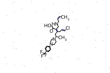 C/C=C\CNC/C(C(=O)CO)=C(\C/C=C/Cl)CC(C)N1CCN(c2ccc(C(F)(F)F)cc2)CC1